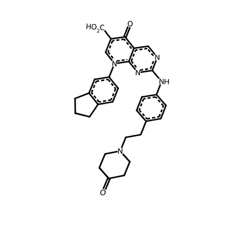 O=C1CCN(CCc2ccc(Nc3ncc4c(=O)c(C(=O)O)cn(-c5ccc6c(c5)CCC6)c4n3)cc2)CC1